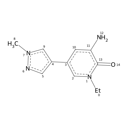 CCn1cc(-c2cnn(C)c2)cc(N)c1=O